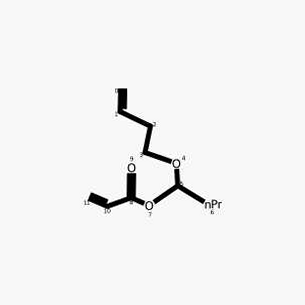 C=CCCOC(CCC)OC(=O)C=C